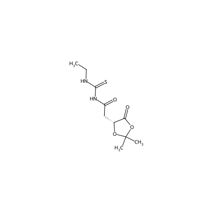 CCNC(=S)NC(=O)C[C@H]1OC(C)(C)OC1=O